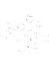 COc1c(NC(=O)c2ccc(C)c(-n3cc(C(=O)O)nn3)c2)cc(C(C)(C)C)cc1NS(C)(=O)=O.NC(=O)c1cccnc1